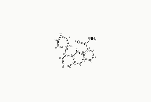 NC(=O)c1cccc2cc3cccc(-c4ccccc4)c3nc12